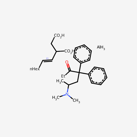 CCC(=O)C(CC(C)N(C)C)(c1ccccc1)c1ccccc1.CCCCCC/C=C/C(CC(=O)O)C(=O)O.[AlH3]